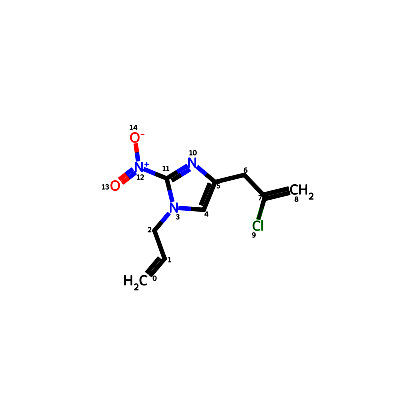 C=CCn1cc(CC(=C)Cl)nc1[N+](=O)[O-]